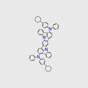 c1ccc(N(c2ccc(C3CCCCC3)cc2)c2ccc3c4cc5c(cc4n4c6ccccc6c2c34)c2ccc(N(c3ccccc3)c3ccc(C4CCCCC4)cc3)c3c4ccccc4n5c23)cc1